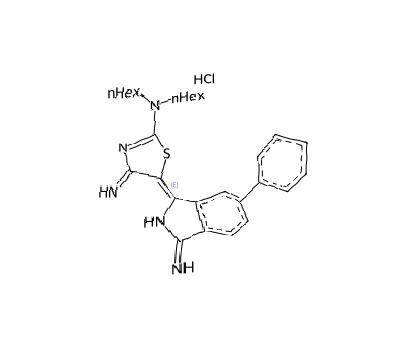 CCCCCCN(CCCCCC)C1=NC(=N)/C(=C2\NC(=N)c3ccc(-c4ccccc4)cc32)S1.Cl